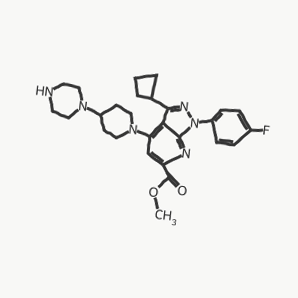 COC(=O)c1cc(N2CCC(N3CCNCC3)CC2)c2c(C3CCC3)nn(-c3ccc(F)cc3)c2n1